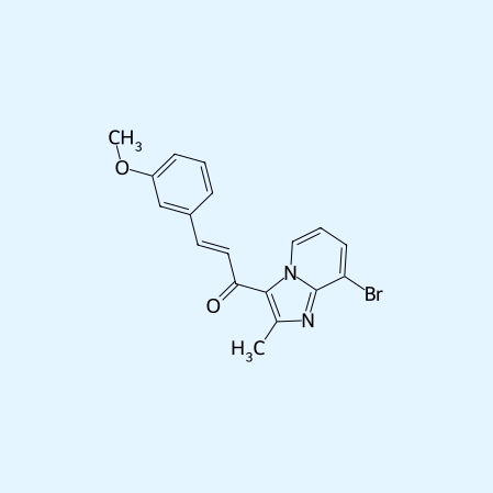 COc1cccc(/C=C/C(=O)c2c(C)nc3c(Br)cccn23)c1